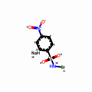 O=[N+]([O-])c1ccc(S(=O)(=O)NBr)cc1.[NaH]